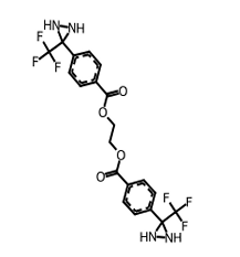 O=C(OCCOC(=O)c1ccc(C2(C(F)(F)F)NN2)cc1)c1ccc(C2(C(F)(F)F)NN2)cc1